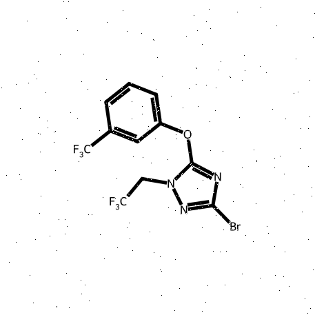 FC(F)(F)Cn1nc(Br)nc1Oc1cccc(C(F)(F)F)c1